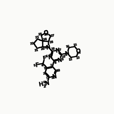 Nc1cc(C(F)F)c(-c2nc(N3CCOCC3)nc(N3C4CCCC45COCC35)n2)cn1